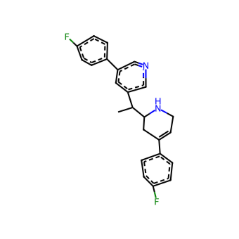 CC(c1cncc(-c2ccc(F)cc2)c1)C1CC(c2ccc(F)cc2)=CCN1